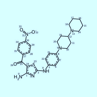 Nc1nc(Nc2ccc(N3CCC(N4CCCCC4)CC3)cc2)sc1C(=O)c1ccc([N+](=O)[O-])cc1